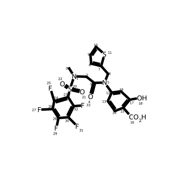 CN(CC(=O)N(Cc1cccs1)c1ccc(C(=O)O)c(O)c1)S(=O)(=O)c1c(F)c(F)c(F)c(F)c1F